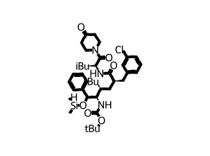 CC[C@H](C)[C@H](NC(=O)[C@@H](Cc1cccc(Cl)c1)C[C@H]([C@H](NC(=O)OC(C)(C)C)C(O[SiH](C)C)c1ccccc1)C(C)(C)C)C(=O)N1CCC(=O)CC1